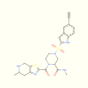 C#Cc1ccc2[nH]c(S(=O)(=O)N3CCN(C(=O)c4nc5c(s4)CNC(C)C5)C(C(=O)NC)C3)cc2c1